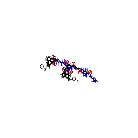 CN(C)CCCNC(=O)c1cc(NC(=O)CCCNC(=O)c2cc(C(=O)NCCNCCN3C(=O)c4cccc5cc([N+](=O)[O-])cc(c45)C3=O)cc(N3C(=O)c4cccc5cc([N+](=O)[O-])cc(c45)C3=O)c2)cn1C